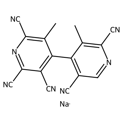 Cc1c(C#N)ncc(C#N)c1-c1c(C)c(C#N)nc(C#N)c1C#N.[Na]